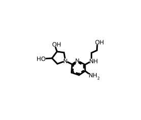 Nc1ccc(N2CC(O)C(O)C2)nc1NCCO